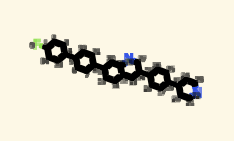 Fc1ccc(-c2ccc(-c3ccc4cc(-c5ccc(-c6ccncc6)cc5)cnc4c3)cc2)cc1